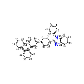 c1ccc(-n2c(-c3ccc(-c4ccc5c6ccccc6c6ccccc6c5c4)cc3)nc3ccccc32)cc1